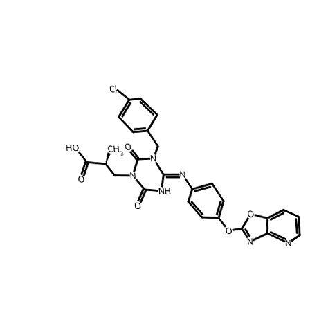 C[C@@H](Cn1c(=O)[nH]/c(=N\c2ccc(Oc3nc4ncccc4o3)cc2)n(Cc2ccc(Cl)cc2)c1=O)C(=O)O